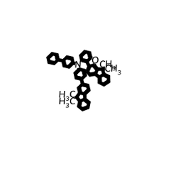 CC1(C)c2ccccc2-c2ccc(-c3ccc(N(c4ccc(-c5ccccc5)cc4)c4cccc5oc6c7c(ccc6c45)-c4ccccc4C7(C)C)cc3)cc21